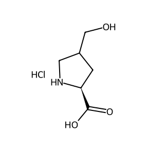 Cl.O=C(O)[C@@H]1CC(CO)CN1